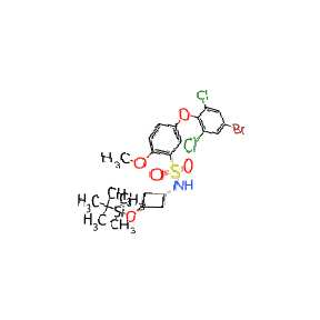 COc1ccc(Oc2c(Cl)cc(Br)cc2Cl)cc1S(=O)(=O)N[C@H]1C[C@H](O[Si](C)(C)C(C)(C)C)C1